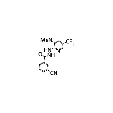 CNc1cc(C(F)(F)F)cnc1NNC(=O)c1cccc(C#N)c1